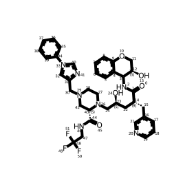 O=C(NC1c2ccccc2OC[C@H]1O)[C@H](Cc1cccnc1)C[C@H](O)CN1CCN(Cc2cn(-c3ccccc3)cn2)C[C@H]1C(=O)NCC(F)(F)F